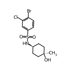 C[C@]1(O)CC[C@@H](NS(=O)(=O)c2ccc(Br)c(Cl)c2)CC1